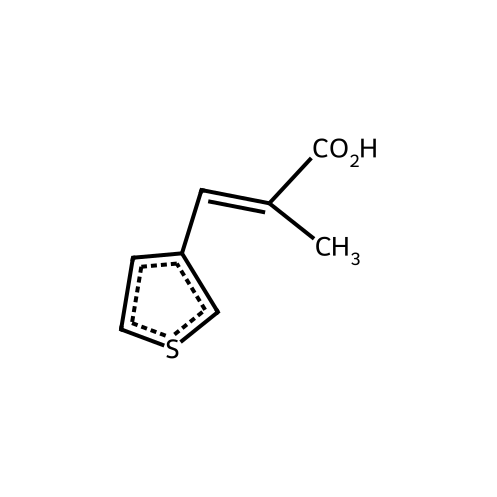 CC(=Cc1ccsc1)C(=O)O